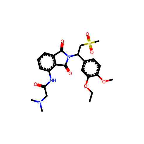 CCOc1cc(C(CS(C)(=O)=O)N2C(=O)c3cccc(NC(=O)CN(C)C)c3C2=O)ccc1OC